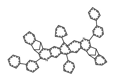 c1ccc(-c2cccc(-c3nc4cc5c(-c6ccccc6)c6cc7c8c(c(-c9cccc(-c%10ccccc%10)c9)nc7cc6c(-c6ccccc6)c5cc4c4c3C3CC4c4ccccc43)C3CC8c4ccccc43)c2)cc1